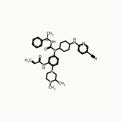 C=CC(=O)Nc1cc(N(C(=O)N[C@H](C)c2ccccc2)C2CCC(Nc3ccc(C#N)cn3)CC2)ccc1N1CCN(C)C(C)C1